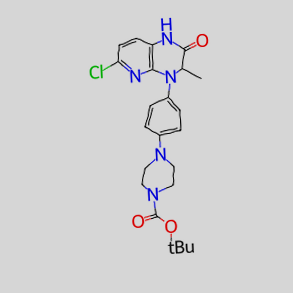 CC1C(=O)Nc2ccc(Cl)nc2N1c1ccc(N2CCN(C(=O)OC(C)(C)C)CC2)cc1